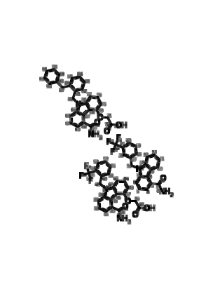 NC(=O)c1cccc2c1c1[c]cccc1n2Cc1cccc(C(F)(F)F)c1.NC(=O)c1cccc2c1c1c(OCC(=O)O)cccc1n2Cc1ccccc1C(F)(F)F.NC(=O)c1cccc2c1c1c(OCC(=O)O)cccc1n2Cc1ccccc1Cc1ccccc1